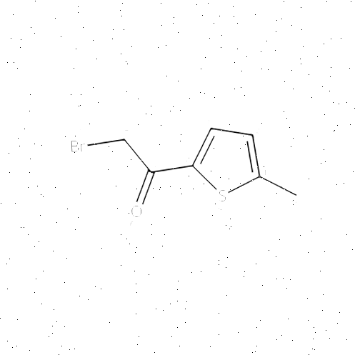 Cc1ccc(C(=O)CBr)s1